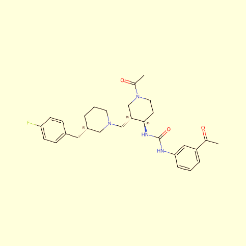 CC(=O)c1cccc(NC(=O)N[C@@H]2CCN(C(C)=O)C[C@H]2CN2CCC[C@@H](Cc3ccc(F)cc3)C2)c1